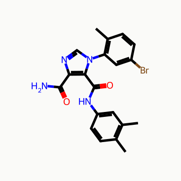 Cc1ccc(NC(=O)c2c(C(N)=O)ncn2-c2cc(Br)ccc2C)cc1C